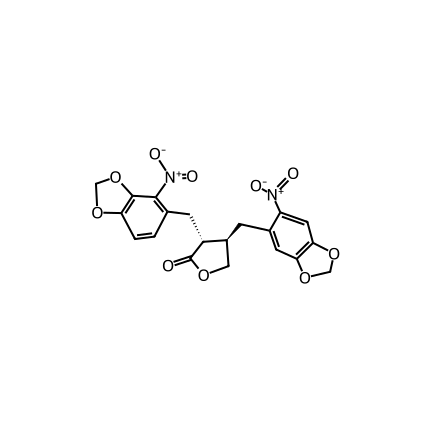 O=C1OC[C@H](Cc2cc3c(cc2[N+](=O)[O-])OCO3)[C@H]1Cc1ccc2c(c1[N+](=O)[O-])OCO2